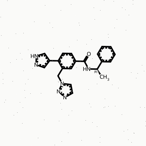 C[C@@H](NC(=O)c1ccc(-c2cn[nH]c2)c(Cn2ccnn2)c1)c1ccccc1